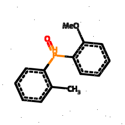 COc1ccccc1[PH](=O)c1ccccc1C